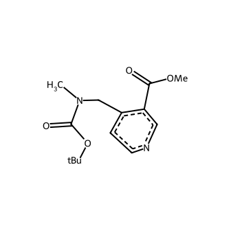 COC(=O)c1cnccc1CN(C)C(=O)OC(C)(C)C